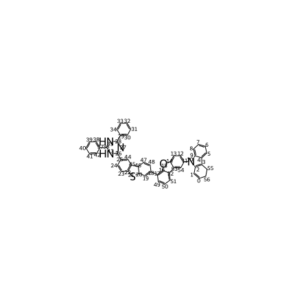 C1=Cc2c(c3ccccc3n2-c2ccc3oc4c(C5=CC6Sc7ccc(C8=NC(c9ccccc9)NC(c9ccccc9)N8)cc7C6C=C5)cccc4c3c2)CC1